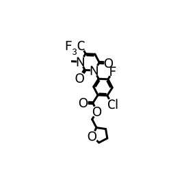 Cn1c(C(F)(F)F)cc(=O)n(-c2cc(C(=O)OCC3CCCO3)c(Cl)cc2F)c1=O